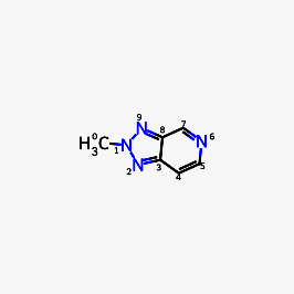 Cn1nc2ccncc2n1